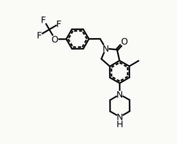 Cc1cc(N2CCNCC2)cc2c1C(=O)N(Cc1ccc(OC(F)(F)F)cc1)C2